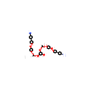 CC(COC(=O)c1cc(C(=O)O)cc(C(=O)OCC(C)COc2ccc(C(=O)Oc3ccc(-c4ccc(C#N)cc4)cc3)cc2)c1)COc1ccc(C(=O)Oc2ccc(-c3ccc(C#N)cc3)cc2)cc1